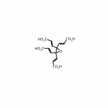 O=C(O)C=CC1(C=CC(=O)O)OC1(C=CC(=O)O)C=CC(=O)O